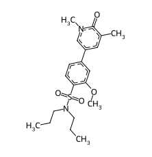 CCCN(CCC)S(=O)(=O)c1ccc(-c2cc(C)c(=O)n(C)c2)cc1OC